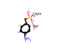 COP(=O)([O-])Cc1ccc(N)cc1.[Na+]